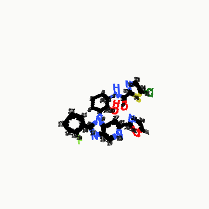 O=C(N[C@@H]1CCCC(n2c(-c3ccccc3F)nc3cnc(-c4ncco4)cc32)[C@H]1O)c1ncc(Cl)s1